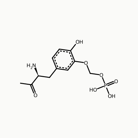 CC(=O)[C@@H](N)Cc1ccc(O)c(OCOP(=O)(O)O)c1